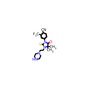 CC1(C)C(=O)N(c2ccc(C#N)c(C(F)(F)F)c2)C(=S)N1CCN1CCNCC1